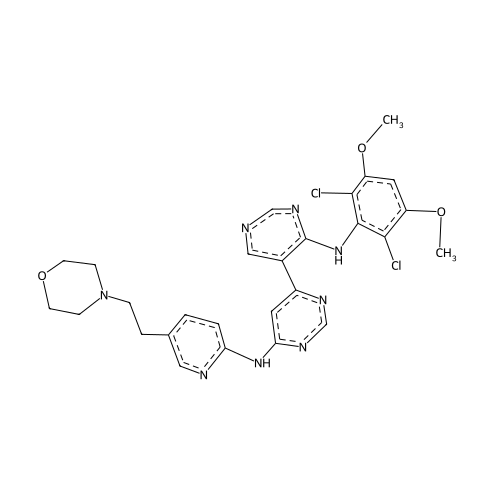 COc1cc(OC)c(Cl)c(Nc2ncncc2-c2cc(Nc3ccc(CCN4CCOCC4)cn3)ncn2)c1Cl